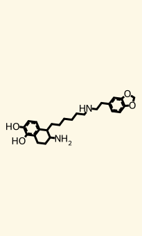 NC1CCc2c(ccc(O)c2O)C1CCCCCCNCCc1ccc2c(c1)OCO2